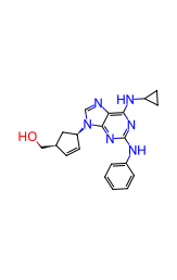 OC[C@@H]1C=C[C@H](n2cnc3c(NC4CC4)nc(Nc4ccccc4)nc32)C1